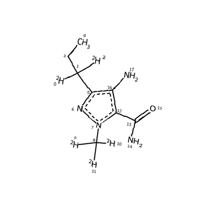 [2H]C([2H])(CC)c1nn(C([2H])([2H])[2H])c(C(N)=O)c1N